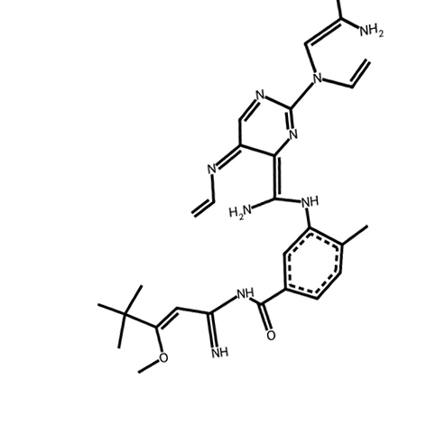 C=C/N=C1/C=NC(N(C=C)/C=C(/C)N)=N/C1=C(/N)Nc1cc(C(=O)NC(=N)/C=C(\OC)C(C)(C)C)ccc1C